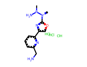 C=[N+](c1nc(-c2cccc(CN)n2)co1)N(C)N.Cl.Cl.Cl